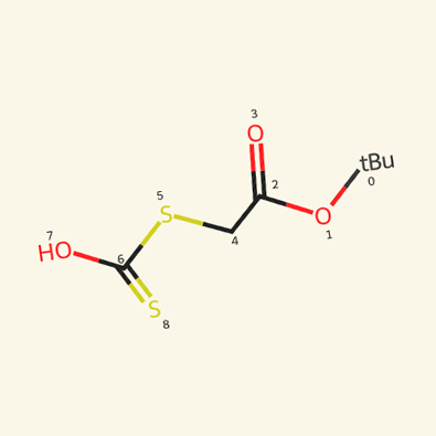 CC(C)(C)OC(=O)CSC(O)=S